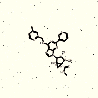 CNC(=O)[C@]12C[C@@H]1C(n1cnc3c(NCc4cc(C)ccn4)nc(-c4cccnc4)nc31)[C@H](O)[C@@H]2O